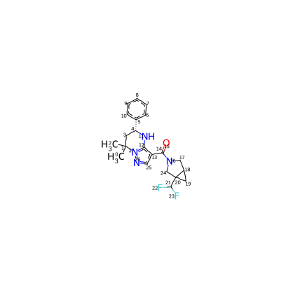 CC1(C)C[C@H](c2ccccc2)Nc2c(C(=O)N3CC4CC4(C(F)F)C3)cnn21